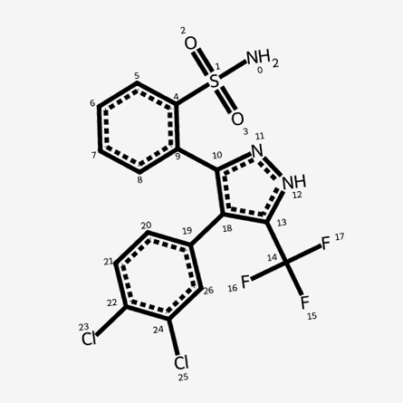 NS(=O)(=O)c1ccccc1-c1n[nH]c(C(F)(F)F)c1-c1ccc(Cl)c(Cl)c1